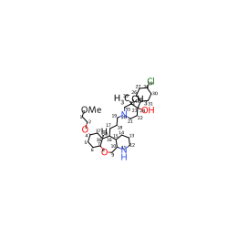 COCCO[C@H]1CCC2OCC3NCCCC3C(CCCN3CCC(O)(C4CCC(Cl)CC4)C(C)(C)C3)[C@H]2C1